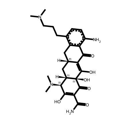 CN(C)CCCc1ccc(N)c2c1C[C@H]1C[C@H]3[C@H](N(C)C)C(O)=C(C(N)=O)C(=O)[C@@]3(O)C(O)=C1C2=O